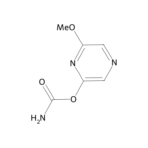 COc1cncc(OC(N)=O)n1